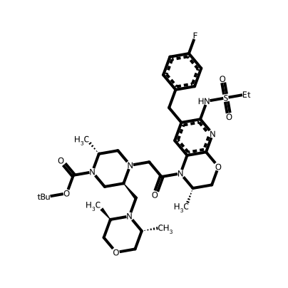 CCS(=O)(=O)Nc1nc2c(cc1Cc1ccc(F)cc1)N(C(=O)CN1C[C@@H](C)N(C(=O)OC(C)(C)C)C[C@@H]1CN1[C@H](C)COC[C@H]1C)[C@@H](C)CO2